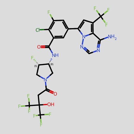 Nc1ncnn2c(-c3cc(F)c(Cl)c(C(=O)N[C@@H]4CN(C(=O)CC(O)(C(F)(F)F)C(F)(F)F)C[C@@H]4F)c3)cc(C(F)(F)F)c12